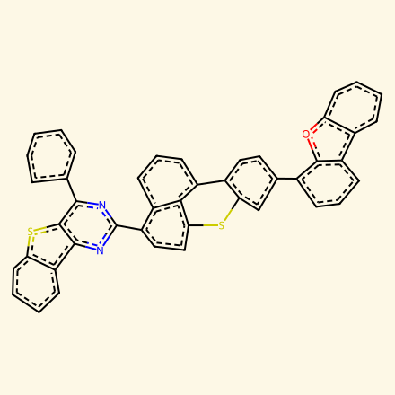 c1ccc(-c2nc(-c3ccc4c5c(cccc35)-c3ccc(-c5cccc6c5oc5ccccc56)cc3S4)nc3c2sc2ccccc23)cc1